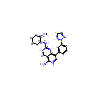 Nc1ncc(-c2cccc(-n3nccn3)c2)c2nc(N[C@H]3CCCC[C@H]3N)ncc12